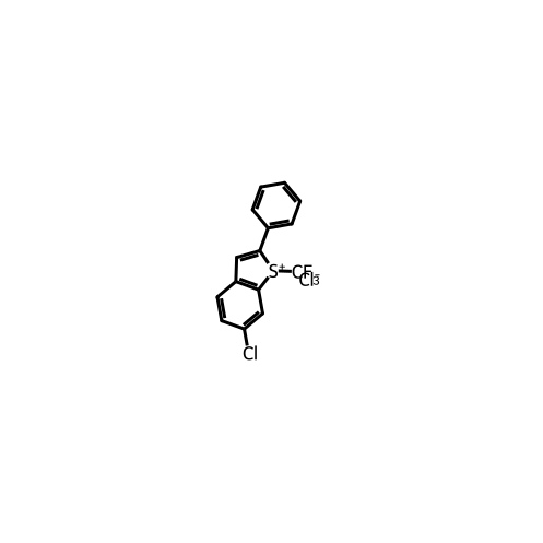 FC(F)(F)[s+]1c(-c2ccccc2)cc2ccc(Cl)cc21.[Cl-]